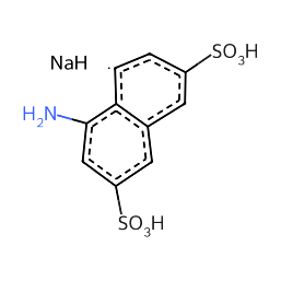 Nc1cc(S(=O)(=O)O)cc2cc(S(=O)(=O)O)c[c]c12.[NaH]